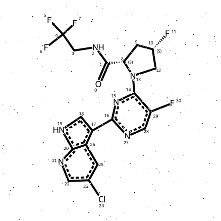 O=C(NCC(F)(F)F)[C@@H]1C[C@H](F)CN1c1nc(-c2c[nH]c3ncc(Cl)cc23)ncc1F